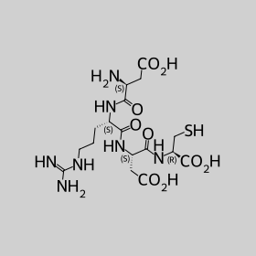 N=C(N)NCCC[C@H](NC(=O)[C@@H](N)CC(=O)O)C(=O)N[C@@H](CC(=O)O)C(=O)N[C@@H](CS)C(=O)O